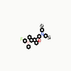 C[Si](C)(C)c1ccc(N(c2ccc([Si](C)(C)C)cc2)c2ccc3c(c2)Oc2cccc4c2c-3cc2c3ccccc3c(B(c3ccccc3)c3ccc(F)cc3)cc42)cc1